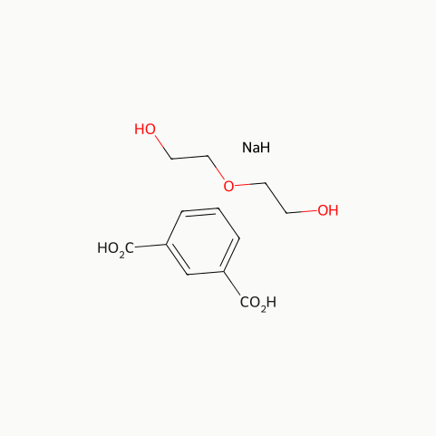 O=C(O)c1cccc(C(=O)O)c1.OCCOCCO.[NaH]